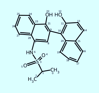 CC(C)S(=O)(=O)Nc1cc(-c2c(O)ccc3ccccc23)c(O)c2ccccc12